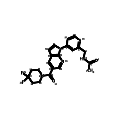 CC(=O)NCc1cc(-n2ccc3cc(C(=O)N4CCC(F)(F)CC4)cnc32)ccn1